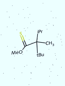 COC(=S)C(C)(C(C)C)C(C)(C)C